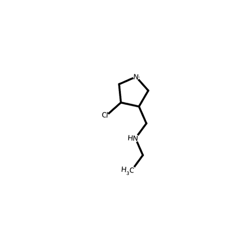 CCNCC1C[N]CC1Cl